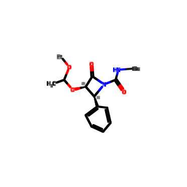 CCOC(C)O[C@H]1C(=O)N(C(=O)NC(C)(C)C)[C@H]1c1ccccc1